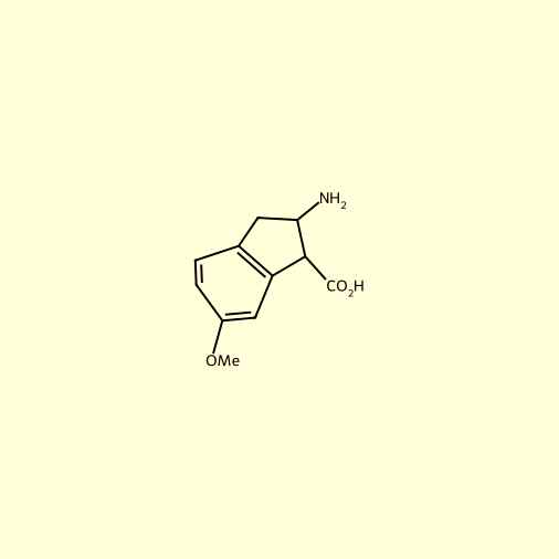 COc1ccc2c(c1)C(C(=O)O)C(N)C2